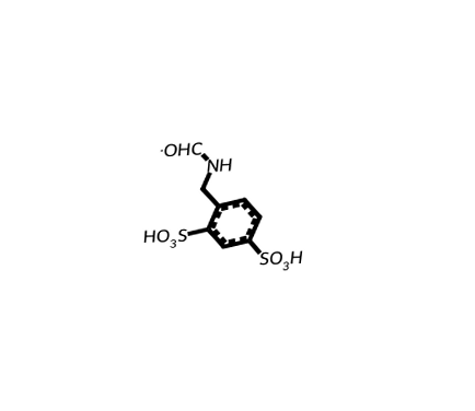 O=[C]NCc1ccc(S(=O)(=O)O)cc1S(=O)(=O)O